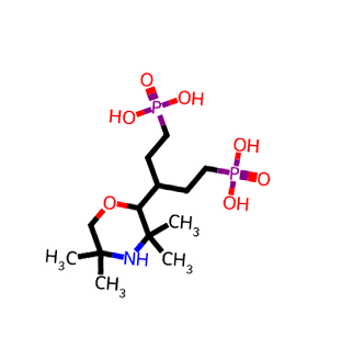 CC1(C)COC(C(CCP(=O)(O)O)CCP(=O)(O)O)C(C)(C)N1